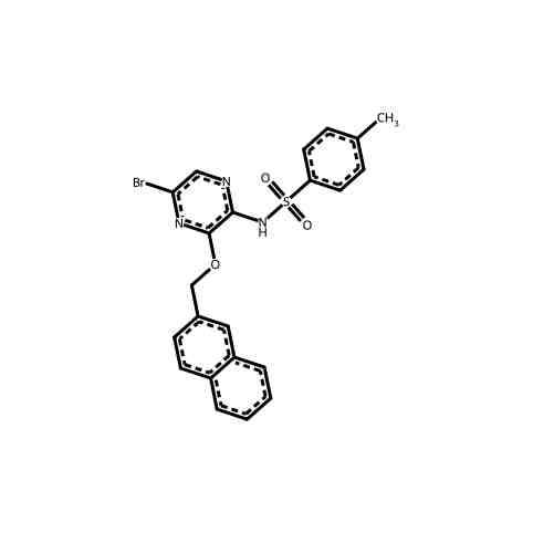 Cc1ccc(S(=O)(=O)Nc2ncc(Br)nc2OCc2ccc3ccccc3c2)cc1